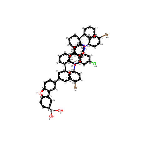 OB(O)c1ccc2oc3ccc(-c4cccc(-c5cccc(-c6ccccc6)c5N(c5ccc(Br)cc5)c5cc(Cl)cc(N(c6ccc(Br)cc6)c6c(-c7ccccc7)cccc6-c6ccccc6)c5)c4)cc3c2c1